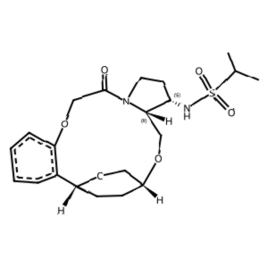 CC(C)S(=O)(=O)N[C@H]1CCN2C(=O)COc3ccccc3[C@H]3CC[C@H](CC3)OC[C@@H]12